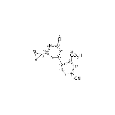 N#Cc1ccc(-c2cc(Cl)nc(C3CC3)c2)c(C(=O)O)c1